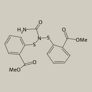 COC(=O)c1ccccc1SN(Sc1ccccc1C(=O)OC)C(N)=O